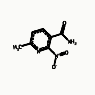 Cc1ccc(C(N)=O)c([N+](=O)[O-])n1